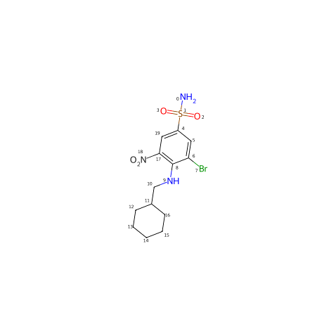 NS(=O)(=O)c1cc(Br)c(NCC2CCCCC2)c([N+](=O)[O-])c1